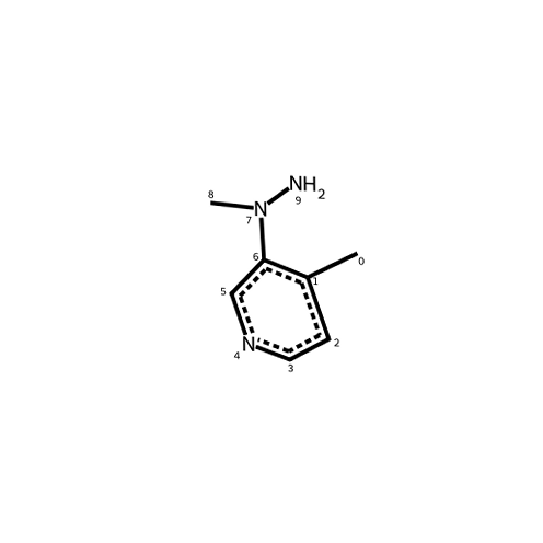 Cc1ccncc1N(C)N